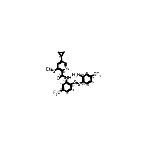 CCSc1cc(C2CC2)cnc1C(=O)Nc1cc(C(F)(F)F)ccc1SSc1ccc(C(F)(F)F)cc1N